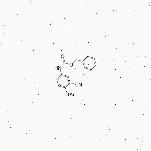 CC(=O)Oc1ccc(NC(=O)OCc2ccccc2)cc1C#N